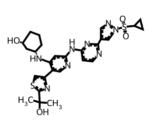 CC(C)(O)c1nc(-c2cnc(Nc3ccnc(-c4cnn(S(=O)(=O)C5CC5)c4)n3)cc2N[C@H]2CCC[C@H](O)C2)cs1